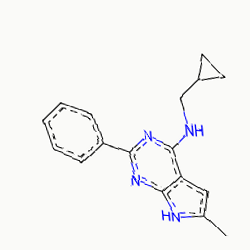 Cc1cc2c(NCC3CC3)nc(-c3ccccc3)nc2[nH]1